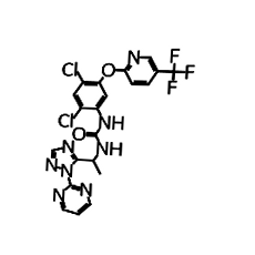 CC(NC(=O)Nc1cc(Oc2ccc(C(F)(F)F)cn2)c(Cl)cc1Cl)c1ncnn1-c1ncccn1